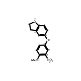 COc1ccc(Oc2ccc3c(c2)CCO3)cc1[N+](=O)[O-]